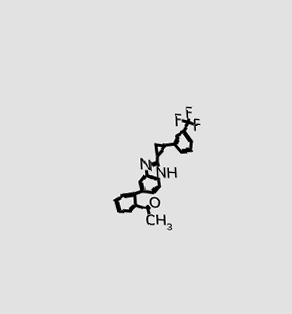 CC(=O)c1ccccc1-c1ccc2[nH]c(C3CC3c3cccc(C(F)(F)F)c3)nc2c1